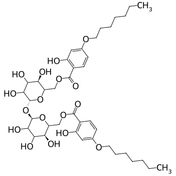 CCCCCCCOc1ccc(C(=O)OCC2O[C@H](O[C@H]3OC(COC(=O)c4ccc(OCCCCCCC)cc4O)[C@H](O)C(O)C3O)C(O)C(O)[C@@H]2O)c(O)c1